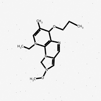 CCCOC1C(C)=CN(CC)C2=C1N=CC1=CN(OC)CN12